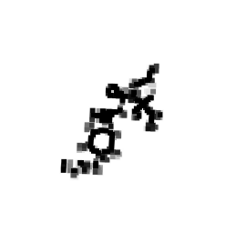 CCCN(C(=O)CN[C@H]1CC[C@@H](CN)CC1)C(C)(C)CC